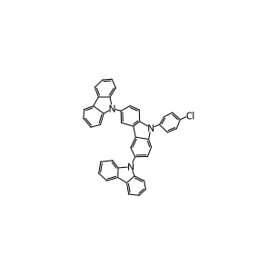 Clc1ccc(-n2c3ccc(-n4c5ccccc5c5ccccc54)cc3c3cc(-n4c5ccccc5c5ccccc54)ccc32)cc1